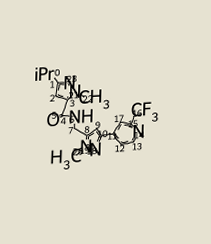 CC(C)c1cc(C(=O)NCc2cc(-c3ccnc(C(F)(F)F)c3)nn2C)n(C)n1